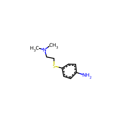 CN(C)CCSc1ccc(N)cc1